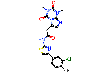 Cn1c(=O)n(C)c2ncc(CC(=O)Nc3nc(-c4ccc(C(F)(F)F)c(Cl)c4)cs3)n2c1=O